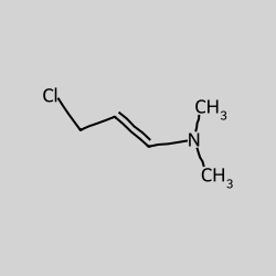 CN(C)C=CCCl